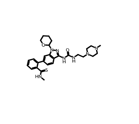 CNC(=S)c1ccccc1-c1ccc2c(NC(=O)NCCN3CCN(C)CC3)nn(C3CCCCO3)c2c1